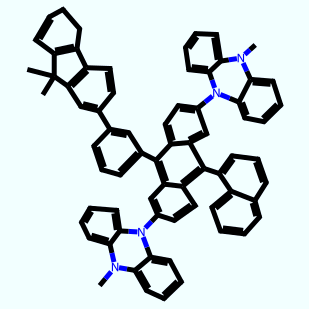 CN1c2ccccc2N(c2ccc3c(-c4cccc5ccccc45)c4cc(N5c6ccccc6N(C)c6ccccc65)ccc4c(-c4cccc(-c5ccc6c(c5)C(C)(C)C5=C6CCC=C5)c4)c3c2)c2ccccc21